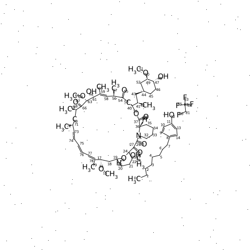 CCCCCCCCc1ccc(O)cc1.CO[C@H]1C[C@@H]2CC[C@@H](C)[C@@](O)(O2)C(=O)C(=O)N2CCCC[C@H]2C(=O)O[C@H]([C@H](C)C[C@@H]2CC[C@@H](O)[C@H](OC)C2)CC(=O)[C@H](C)/C=C(\C)[C@@H](O)[C@@H](OC)C(=O)[C@H](C)C[C@H](C)/C=C/C=C/C=C/1C.FCC(F)(F)F